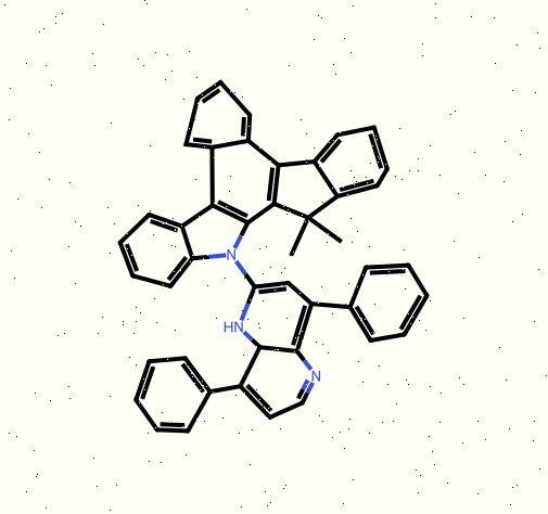 CC1(C)c2ccccc2-c2c1c1c(c3ccccc23)c2ccccc2n1C1=CC(c2ccccc2)=C2N=CC=C(c3ccccc3)C2N1